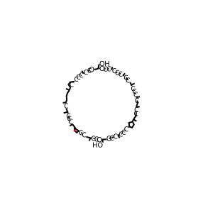 CC1CCCC(C)CCCC(C)CCC(C)CCCC(C)C2CCC(CCCC(C)CCOCC(CO)OCCC(C)CCCC3CCC(C3)C(C)CCCC(C)CCC(C)CCCC(C)C3CCC(CCCC(C)CCOCC(CO)OCCC(C)CCC1)C3)C2